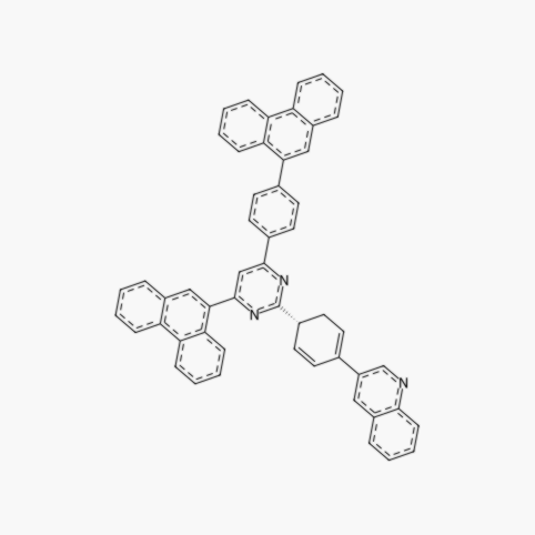 C1=C[C@H](c2nc(-c3ccc(-c4cc5ccccc5c5ccccc45)cc3)cc(-c3cc4ccccc4c4ccccc34)n2)CC=C1c1cnc2ccccc2c1